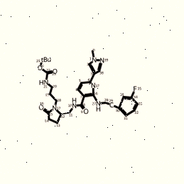 Cn1cc(-c2ccc(C(=O)NC[C@H]3CCC(=O)N3CCCNC(=O)OC(C)(C)C)c(NCCc3cccc(F)c3)n2)cn1